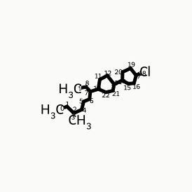 CCC(C)CCCC(CC)C1CCC(C2CCC(Cl)CC2)CC1